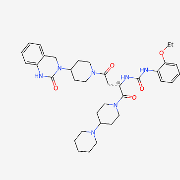 CCOc1ccccc1NC(=O)N[C@@H](CC(=O)N1CCC(N2Cc3ccccc3NC2=O)CC1)C(=O)N1CCC(N2CCCCC2)CC1